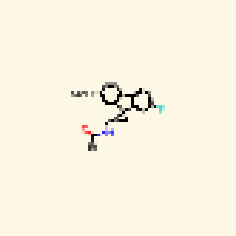 CCC(=O)NCC1CC12c1cc(F)ccc1-c1ccc(OC)cc12